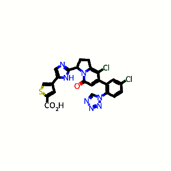 O=C(O)c1cc(-c2cnc(C3CCc4c(Cl)c(-c5cc(Cl)ccc5-n5cnnn5)cc(=O)n43)[nH]2)cs1